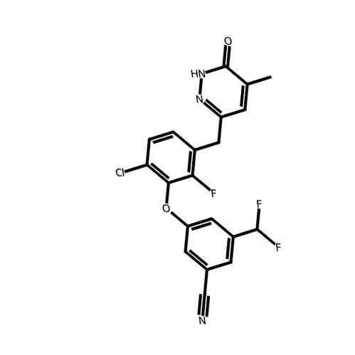 Cc1cc(Cc2ccc(Cl)c(Oc3cc(C#N)cc(C(F)F)c3)c2F)n[nH]c1=O